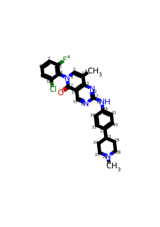 Cc1cn(-c2c(F)cccc2Cl)c(=O)c2cnc(Nc3ccc(C4CCN(C)CC4)cc3)nc12